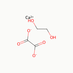 O=C([O-])C(=O)[O-].OCCO.[Ca+2]